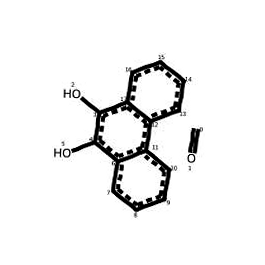 C=O.Oc1c(O)c2ccccc2c2ccccc12